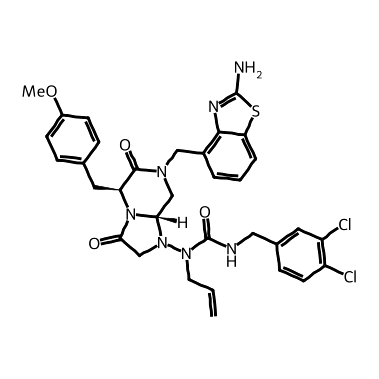 C=CCN(C(=O)NCc1ccc(Cl)c(Cl)c1)N1CC(=O)N2[C@@H](Cc3ccc(OC)cc3)C(=O)N(Cc3cccc4sc(N)nc34)C[C@@H]21